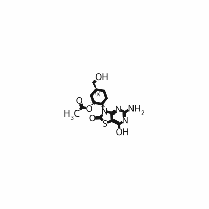 CC(=O)O[C@@H]1C[C@@H](CO)CC[C@H]1n1c(=O)sc2c(O)nc(N)nc21